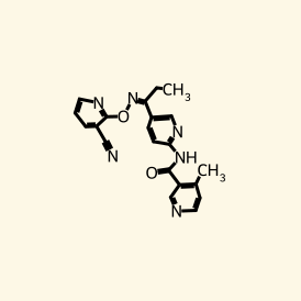 CCC(=NOc1ncccc1C#N)c1ccc(NC(=O)c2cnccc2C)nc1